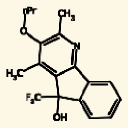 CCCOc1c(C)nc2c(c1C)C(O)(C(F)(F)F)c1ccccc1-2